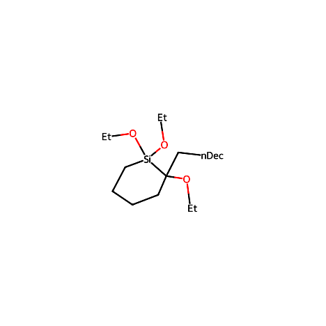 CCCCCCCCCCCC1(OCC)CCCC[Si]1(OCC)OCC